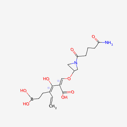 C=C/C(CCB(O)O)=C(O)\C(=C\OC1CN(C(=O)CCCC(N)=O)C1)C(=O)O